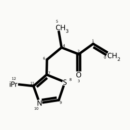 C=CC(=O)C(C)Cc1scnc1C(C)C